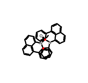 CP1(=O)N(c2cccc3cccc(-c4ccccc4)c23)c2ccccc2N1c1cccc2cccc(-c3ccccc3)c12